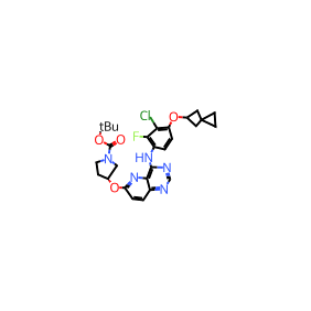 CC(C)(C)OC(=O)N1CC[C@H](Oc2ccc3ncnc(Nc4ccc(OC5CC6(CC6)C5)c(Cl)c4F)c3n2)C1